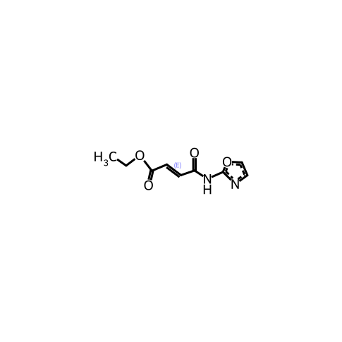 CCOC(=O)/C=C/C(=O)Nc1ncco1